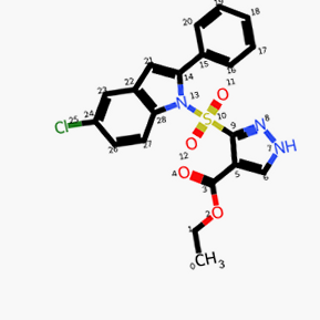 CCOC(=O)c1c[nH]nc1S(=O)(=O)n1c(-c2ccccc2)cc2cc(Cl)ccc21